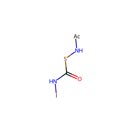 CC(=O)NSC(=O)NI